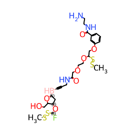 CSSC(COc1cccc(C(=O)NCCN)c1)OCCOCC(=O)NCC#CB[C@H]1C[C@@H](O[C@H](F)SSC)C(CO)O1